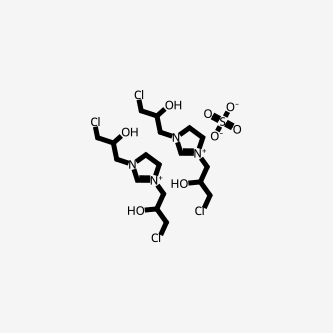 O=S(=O)([O-])[O-].OC(CCl)CN1C=[N+](CC(O)CCl)CC1.OC(CCl)CN1C=[N+](CC(O)CCl)CC1